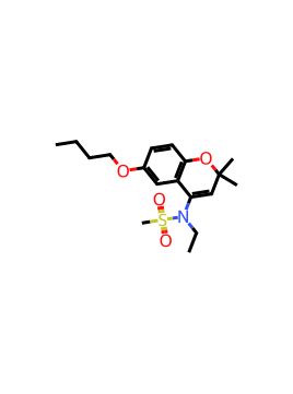 CCCCOc1ccc2c(c1)C(N(CC)S(C)(=O)=O)=CC(C)(C)O2